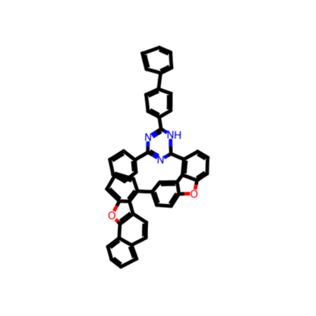 c1ccc(C2=NC(c3cccc4oc5ccc(-c6cccc7oc8c9ccccc9ccc8c67)cc5c34)NC(c3ccc(-c4ccccc4)cc3)=N2)cc1